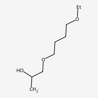 [CH2]C(O)COCCCCOCC